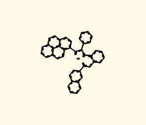 c1ccc(-c2c(-c3ccc4ccc5cccc6ccc3c4c56)nn3c(-c4ccc5ccccc5c4)cc4ccccc4c23)cc1